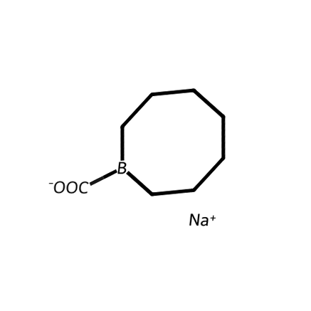 O=C([O-])B1CCCCCCC1.[Na+]